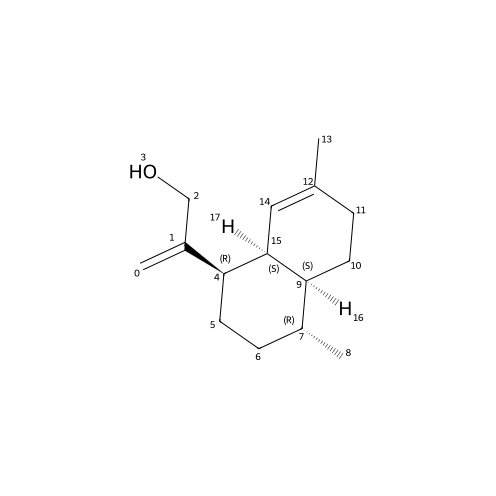 C=C(CO)[C@@H]1CC[C@@H](C)[C@@H]2CCC(C)=C[C@@H]21